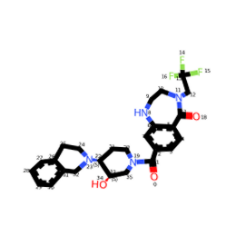 O=C(c1ccc2c(c1)NCCN(CC(F)(F)F)C2=O)N1CC[C@H](N2CCc3ccccc3C2)[C@@H](O)C1